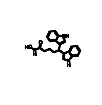 O=C(CCCC(c1c[nH]c2ccccc12)c1c[nH]c2ccccc12)NO